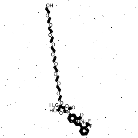 C[C@@](OCCOCCOCCOCCOCCOCCOCCOCCOCCOCCO)(C(=O)O)C1CN(c2ccc3cc(-c4ccccc4C(F)(F)F)[nH]c(=O)c3c2)C(=O)O1